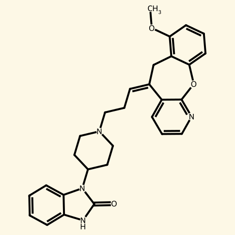 COc1cccc2c1C/C(=C/CCN1CCC(n3c(=O)[nH]c4ccccc43)CC1)c1cccnc1O2